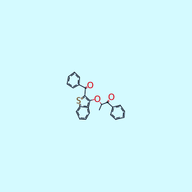 CC(Oc1c(C(=O)c2ccccc2)sc2ccccc12)C(=O)c1ccccc1